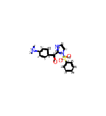 CN(C)c1ccc(C(=O)c2n[c]cn2S(=O)(=O)c2ccccc2)cc1